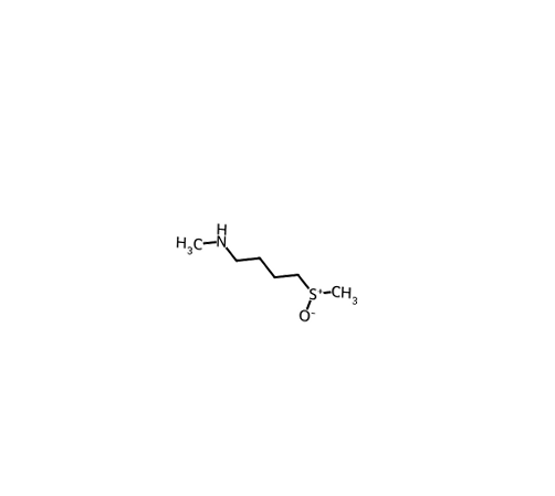 CNCCCC[S+](C)[O-]